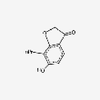 CCCc1c(O)ccc2c1OCC2=O